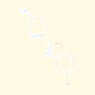 Nc1ccc(-c2nc3cc(Br)ccc3o2)nc1